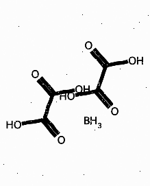 B.O=C(O)C(=O)O.O=C(O)C(=O)O